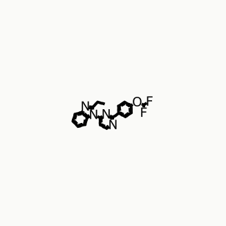 CCc1nc2ccccc2n1-c1ccnc(-c2ccc(OC(F)F)cc2)n1